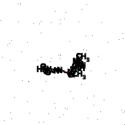 Cc1cc2ncc(NC(=O)Nc3cnc(-c4noc(CCCCCCN5CCN(c6ccc7c(c6)CN(C6CCC(=O)NC6=O)C7=O)CC5)n4)c(C)c3)c(C3CCCO3)n2n1